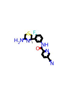 C[C@@]1(c2cc(NC(=O)c3ccc(C#N)cn3)ccc2F)CSCC(N)=N1